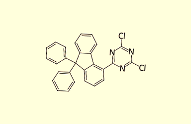 Clc1nc(Cl)nc(-c2cccc3c2-c2ccccc2C3(c2ccccc2)c2ccccc2)n1